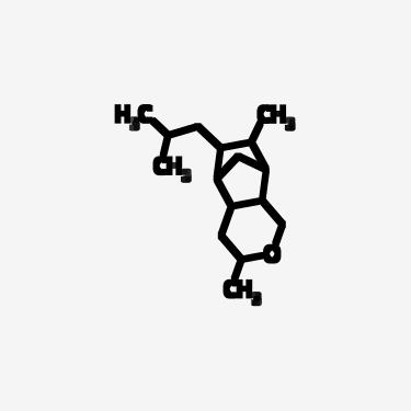 CC(C)CC1C(C)C2CC1C1CC(C)OCC21